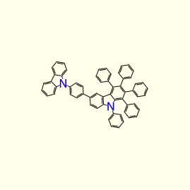 c1ccc(-c2c(-c3ccccc3)c(-c3ccccc3)c3c(c2-c2ccccc2)c2cc(-c4ccc(-n5c6ccccc6c6ccccc65)cc4)ccc2n3-c2ccccc2)cc1